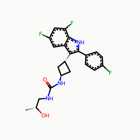 C[C@@H](O)CNC(=O)N[C@H]1C[C@H](c2c(-c3ccc(F)cc3)[nH]c3c(F)cc(F)cc32)C1